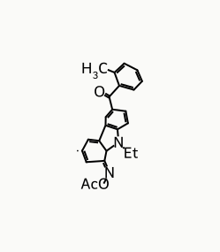 CCN1c2ccc(C(=O)c3ccccc3C)cc2C2=C[C]=CC(=NOC(C)=O)C21